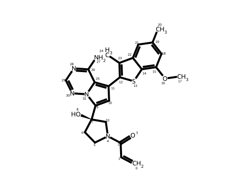 C=CC(=O)N1CC[C@](O)(c2cc(-c3sc4c(OC)cc(C)cc4c3C)c3c(N)ncnn23)C1